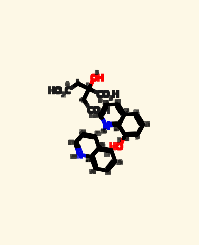 O=C(O)CC(O)(CC(=O)O)C(=O)O.Oc1cccc2cccnc12.c1ccc2ncccc2c1